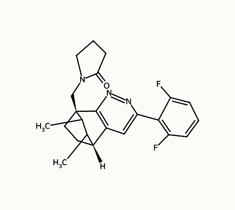 CC1C(C)[C@]2(CN3CCCC3=O)CC[C@H]1c1cc(-c3c(F)cccc3F)nnc12